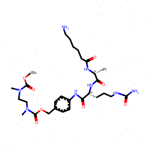 CC(C)[C@@H](NC(=O)CCCCCN)C(=O)N[C@H](CCCNC(N)=O)C(=O)Nc1ccc(COC(=O)N(C)CCN(C)C(=O)OC(C)(C)C)cc1